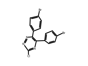 Clc1nnc(-c2ccc(Br)cc2)c(-c2ccc(Br)cc2)n1